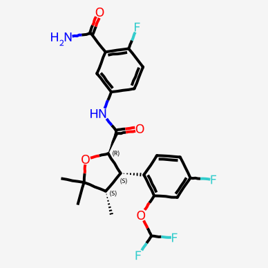 C[C@H]1[C@@H](c2ccc(F)cc2OC(F)F)[C@H](C(=O)Nc2ccc(F)c(C(N)=O)c2)OC1(C)C